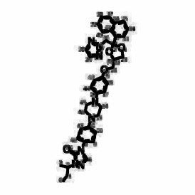 CCC(C)n1ncn(-c2ccc(N3CCN(c4ccc(OC[C@@H]5CO[C@@](Cn6nccn6)(c6cccc7ccccc67)O5)cc4)CC3)cc2)c1=O